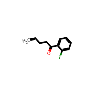 C=CCCC(=O)c1ccccc1F